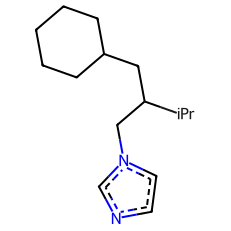 CC(C)C(CC1CCCCC1)Cn1ccnc1